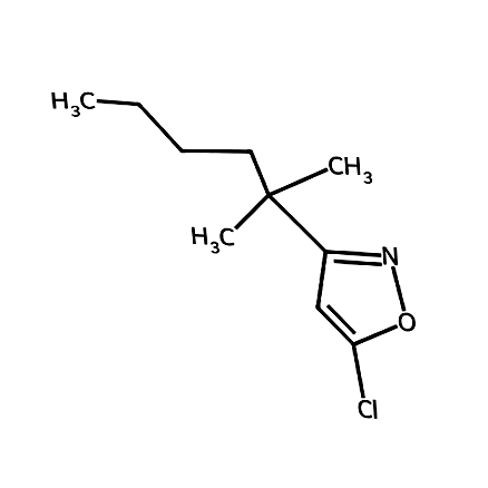 CCCCC(C)(C)c1cc(Cl)on1